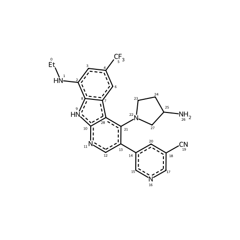 CCNc1cc(C(F)(F)F)cc2c1[nH]c1ncc(-c3cncc(C#N)c3)c(N3CCC(N)C3)c12